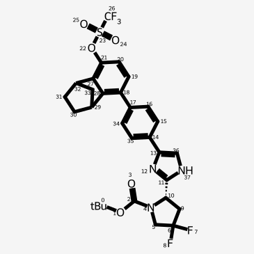 CC(C)(C)OC(=O)N1CC(F)(F)C[C@H]1c1nc(-c2ccc(-c3ccc(OS(=O)(=O)C(F)(F)F)c4c3C3CCC4C3)cc2)c[nH]1